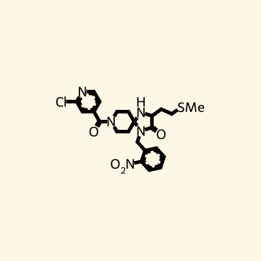 CSCCC1NC2(CCN(C(=O)c3ccnc(Cl)c3)CC2)N(Cc2ccccc2[N+](=O)[O-])C1=O